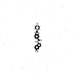 N#Cc1ccc2c(c1)CC[C@@H]2NC(=O)c1ccc2nc(N3CCNCC3)sc2c1